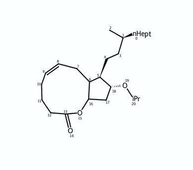 CCCCCCC[C@H](C)CC[C@@H]1C2C/C=C\CCCC(=O)OC2C[C@H]1OC(C)C